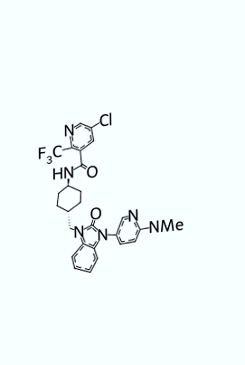 CNc1ccc(-n2c(=O)n(C[C@H]3CC[C@H](NC(=O)c4cc(Cl)cnc4C(F)(F)F)CC3)c3ccccc32)cn1